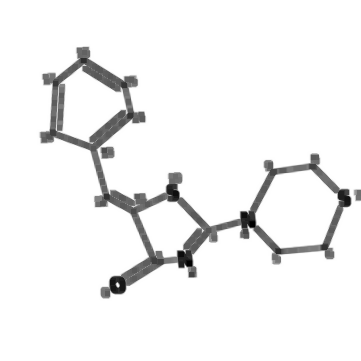 O=C1N=C(N2CCSCC2)SC1=Cc1ccccc1